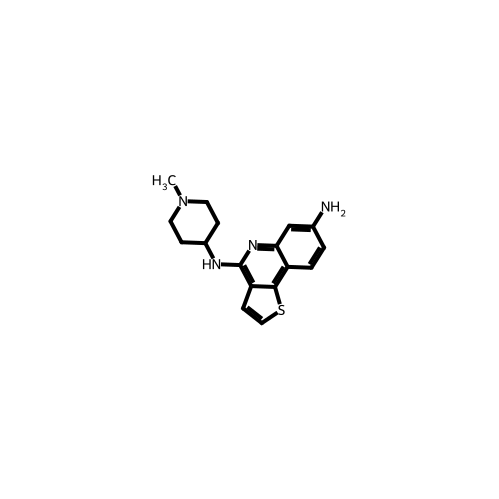 CN1CCC(Nc2nc3cc(N)ccc3c3sccc23)CC1